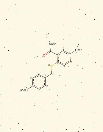 COC(=O)c1cc(OC)ccc1SCc1ccc(OC)cc1